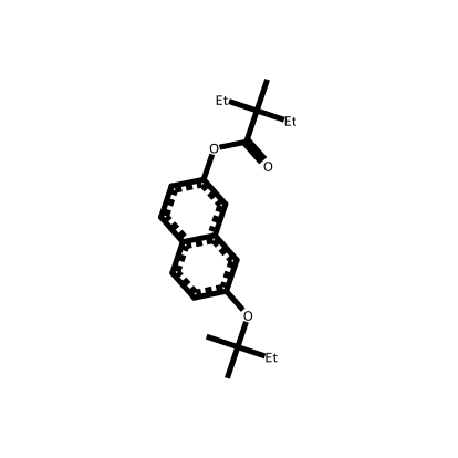 CCC(C)(C)Oc1ccc2ccc(OC(=O)C(C)(CC)CC)cc2c1